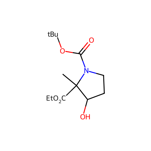 CCOC(=O)C1(C)C(O)CCN1C(=O)OC(C)(C)C